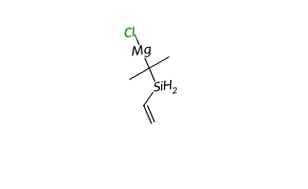 C=C[SiH2][C](C)(C)[Mg][Cl]